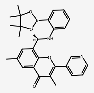 Cc1cc([C@@H](C)Nc2ccccc2B2OC(C)(C)C(C)(C)O2)c2oc(-c3cccnc3)c(C)c(=O)c2c1